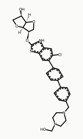 OCN1CCN(Cc2ccc(-c3ccc(-c4cc5nc(O[C@@H]6CO[C@H]7[C@@H]6OC[C@H]7O)[nH]c5cc4Cl)cc3)cc2)CC1